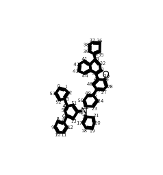 c1ccc(-c2cc(-c3ccccc3)cc(N(c3ccccc3)c3ccc(-c4ccc5oc6cc(-c7ccccc7)c7ccccc7c6c5c4)cc3)c2)cc1